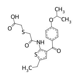 CCc1cc(C(=O)c2ccc(OC(C)C)cc2)c(NC(=O)CSCC(=O)O)s1